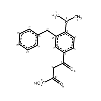 CN(C)c1ccc(C(=O)CC(=O)C(=O)O)cc1Cc1ccccc1